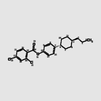 CCC[C@H]1CC[C@H](c2ccc(OC(=O)c3ccc(Cl)cc3Cl)cc2)CC1